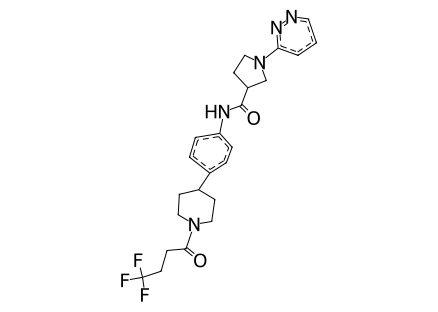 O=C(Nc1ccc(C2CCN(C(=O)CCC(F)(F)F)CC2)cc1)C1CCN(c2cccnn2)C1